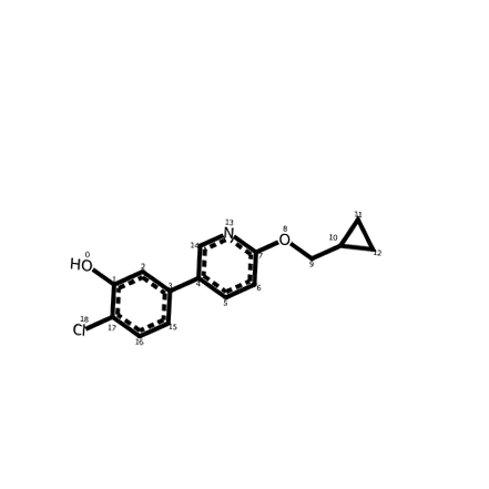 Oc1cc(-c2ccc(OCC3CC3)nc2)ccc1Cl